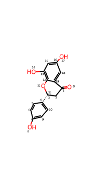 O=C1C[C@H](c2ccc(O)cc2)Oc2c(O)cc(O)cc21